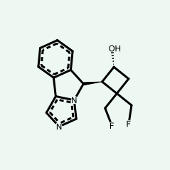 O[C@@H]1CC(CF)(CF)[C@H]1C1c2ccccc2-c2cncn21